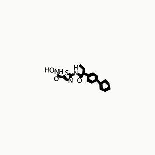 CCC(C(=O)Nc1ncc(C(=O)NO)s1)c1ccc(-c2ccccc2)cc1